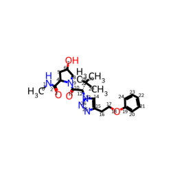 CNC(=O)C1CC(O)CN1C(=O)[C@@H](n1cc(CCOc2ccccc2)nn1)C(C)(C)C